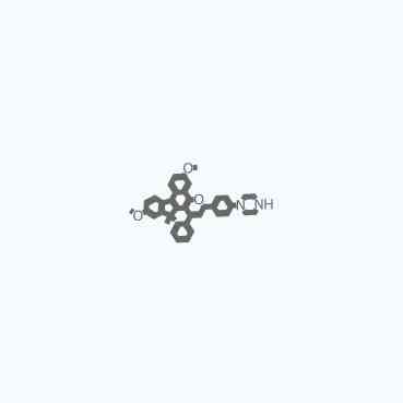 COc1ccc2c(c1)C(C)(C)c1c3c(c4cc(OC)ccc4c1-2)OC(c1ccc(N2CCNCC2)cc1)C=C3c1ccccc1